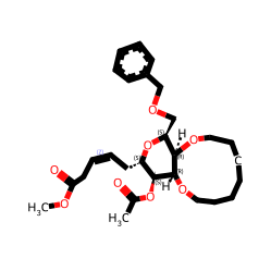 COC(=O)C/C=C\C[C@@H]1O[C@@H](COCc2ccccc2)[C@H]2OCCCCCCCO[C@H]2[C@H]1OC(C)=O